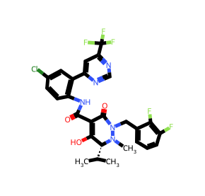 CC(C)[C@@H]1C(O)=C(C(=O)Nc2ccc(Cl)cc2-c2cc(C(F)(F)F)ncn2)C(=O)N(Cc2cccc(F)c2F)N1C